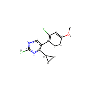 COC1=CC(F)=C(c2cnc(Cl)nc2C2CC2)CC1